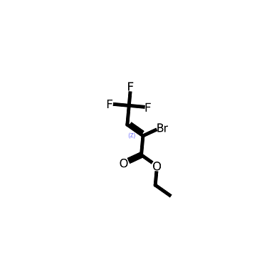 CCOC(=O)/C(Br)=C/C(F)(F)F